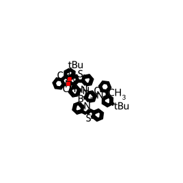 CC(C)(C)c1ccc2c(c1)C1(C)CCCCC1(C)N2c1ccc2c(c1)N(c1cccc3sc4ccccc4c13)c1cc(N3c4ccc(C(C)(C)C)cc4C4(C)CCCCC34C)cc3c1B2c1cccc2c4sc5ccccc5c4n-3c12